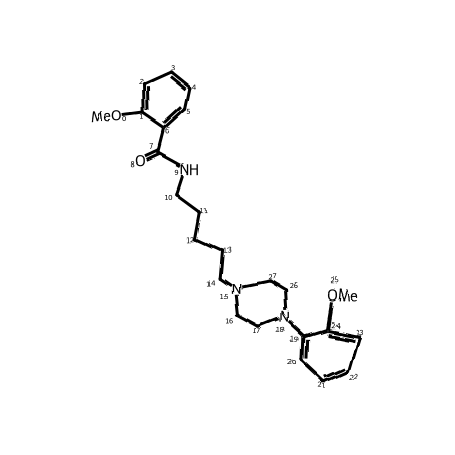 COc1ccccc1C(=O)NCCCCCN1CCN(c2ccccc2OC)CC1